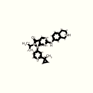 CC(C)n1c(=O)c2cnc(Nc3ccc4c(c3)CNCC4)nc2n1-c1ccnc(C2(C)CC2)c1